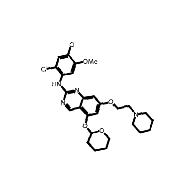 COc1cc(Nc2ncc3c(OC4CCCCO4)cc(OCCN4CCCCC4)cc3n2)c(Cl)cc1Cl